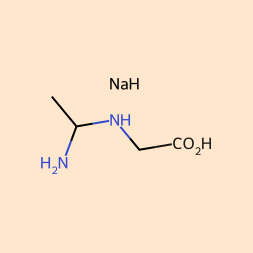 CC(N)NCC(=O)O.[NaH]